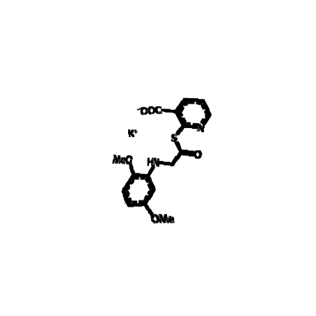 COc1ccc(OC)c(NCC(=O)Sc2ncccc2C(=O)[O-])c1.[K+]